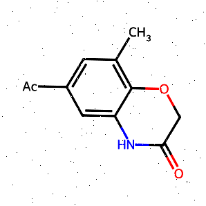 CC(=O)c1cc(C)c2c(c1)NC(=O)CO2